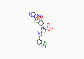 CN(C)[C@@]1(CCc2cccc(C(F)(F)F)c2)CCCN(c2ccc(S(=O)(=O)Nc3ccncn3)c(F)c2)C1.O=CO